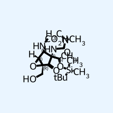 C[C@H](O[Si](C)(C)C(C)(C)C)[C@@]1(NC(=O)N(C)C)C(=O)[C@]2(CO)O[C@@H]2[C@@H]1NC(=O)O